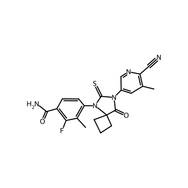 Cc1cc(N2C(=O)C3(CCC3)N(c3ccc(C(N)=O)c(F)c3C)C2=S)cnc1C#N